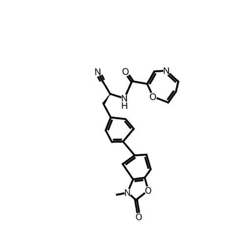 Cn1c(=O)oc2ccc(-c3ccc(C[C@@H](C#N)NC(=O)C4=CN=CC=CO4)cc3)cc21